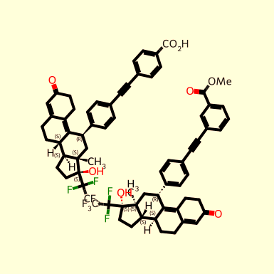 COC(=O)c1cccc(C#Cc2ccc([C@H]3C[C@@]4(C)[C@@H](CC[C@@]4(O)C(F)(F)C(F)(F)F)[C@@H]4CCC5=CC(=O)CCC5=C43)cc2)c1.C[C@]12C[C@H](c3ccc(C#Cc4ccc(C(=O)O)cc4)cc3)C3=C4CCC(=O)C=C4CC[C@H]3[C@@H]1CC[C@@]2(O)C(F)(F)C(F)(F)F